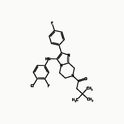 CC(C)(C)CC(=O)N1CCn2c(nc(-c3ccc(F)cc3)c2Nc2ccc(Cl)c(F)c2)C1